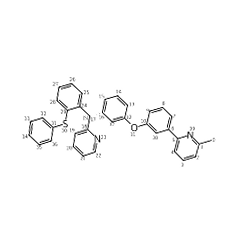 Cc1cccc(-c2cccc(Oc3cccc([C@H](c4ccccn4)c4ccccc4Sc4ccccc4)c3)c2)n1